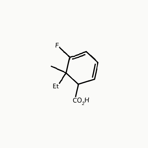 CCC1(C)C(F)=CC=CC1C(=O)O